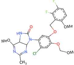 COCOc1cc(Cl)c(N2C(=O)NC3C(OC)=NC(C)=NC32)cc1OCc1c(OC)ccc(F)c1F